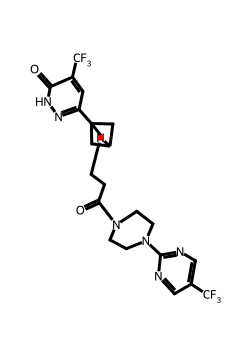 O=C(CCN1CC2(c3cc(C(F)(F)F)c(=O)[nH]n3)CC1C2)N1CCN(c2ncc(C(F)(F)F)cn2)CC1